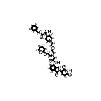 CN(C(=O)OCc1ccccc1)C1CCN(CCOCCN(CCOC2CCCCO2)CC(=O)Nc2cccc3c2CN(C2CCC(=O)NC2=O)C3=O)CC1